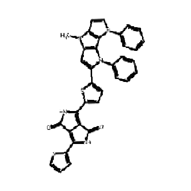 Cn1c2ccn(-c3ccccc3)c2c2c1cc(-c1ccc(C3=C4C(=O)NC(c5cccs5)=C4C(=O)N3)s1)n2-c1ccccc1